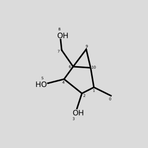 CC1C(O)C(O)C2(CO)CC12